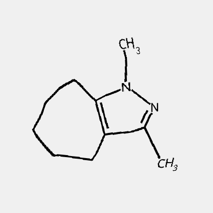 Cc1nn(C)c2c1CCCCC2